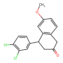 COc1ccc2c(c1)C(c1ccc(Cl)c(Cl)c1)CC(=O)C2